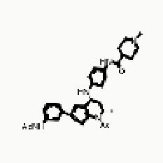 CC(=O)Nc1cccc(-c2ccc3c(c2)[C@H](Nc2ccc(NC(=O)C4CCN(C)CC4)cc2)C[C@H](C)N3C(C)=O)c1